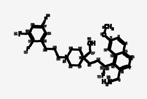 COc1ccc2ncc(CN)c([C@H](F)CCC3(CO)CCN(CCCc4cc(F)cc(F)c4F)CC3)c2c1